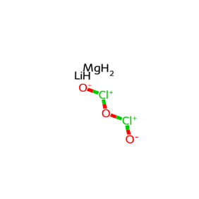 [LiH].[MgH2].[O-][Cl+]O[Cl+][O-]